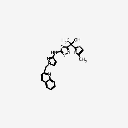 Cc1csc(C(C)(O)c2nnc(Nc3ccn(Cc4ccc5ccccc5n4)n3)s2)n1